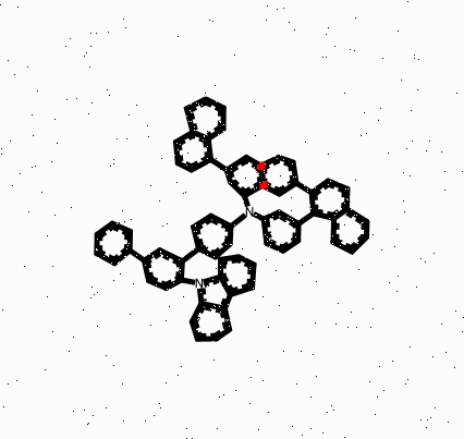 c1ccc(-c2ccc(-n3c4ccccc4c4ccccc43)c(-c3ccc(N(c4cccc(-c5cccc6ccccc56)c4)c4cccc(-c5c(-c6ccccc6)ccc6ccccc56)c4)cc3)c2)cc1